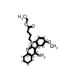 CCOC(=O)CCCn1c2ccc(OC)cc2c2c(N)c3c(nc21)CCCC3